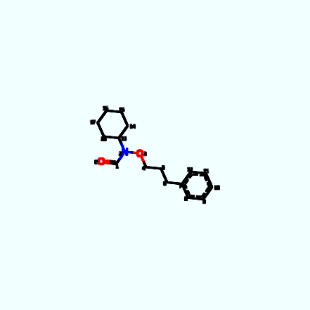 O=CN(OCCCc1ccccc1)C1CCCCC1